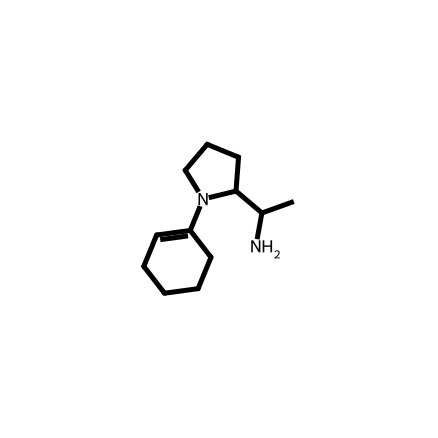 CC(N)C1CCCN1C1=CCCCC1